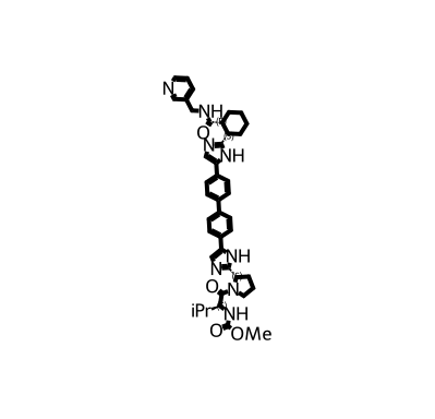 COC(=O)N[C@H](C(=O)N1CCC[C@H]1c1ncc(-c2ccc(-c3ccc(-c4cnc([C@H]5CCCC[C@H]5C(=O)NCc5cccnc5)[nH]4)cc3)cc2)[nH]1)C(C)C